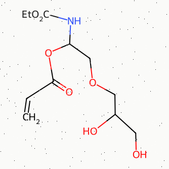 C=CC(=O)OC(COCC(O)CO)NC(=O)OCC